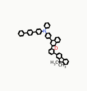 CC1(C)c2ccccc2-c2ccc(-c3cccc4c3oc3c5ccccc5c(-c5ccc(N(c6ccccc6)c6ccc(-c7ccc(-c8ccccc8)cc7)cc6)cc5)cc43)cc21